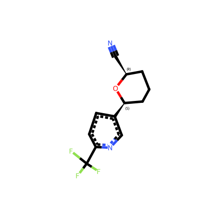 N#C[C@H]1CCC[C@@H](c2ccc(C(F)(F)F)nc2)O1